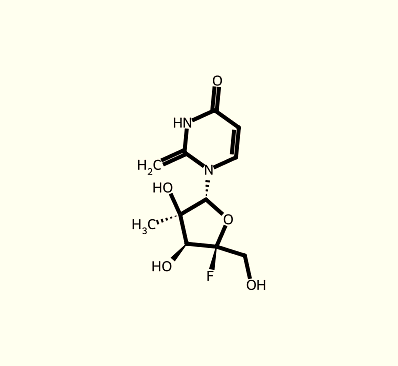 C=C1NC(=O)C=CN1[C@@H]1O[C@](F)(CO)[C@@H](O)[C@@]1(C)O